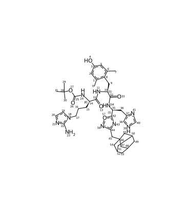 Cc1cc(O)cc(C)c1C[C@H](NC(=O)[C@@H](CCCn1ccnc1N)NC(=O)OC(C)(C)C)C(=O)N[C@@H](Cc1c[nH]cn1)c1nc(CC23CC4CC(CC(C4)C2)C3)no1